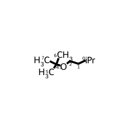 CC(C)CCOC(C)(C)C